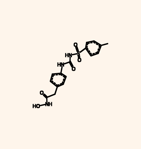 Cc1ccc(S(=O)(=O)NC(=O)Nc2ccc(CC(=O)NO)cc2)cc1